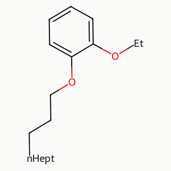 CCCCCCCCCCOc1ccccc1OCC